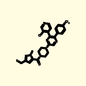 Cn1nc(CF)cc1C(=O)N1CCN(c2cnc(-c3ccc(C(F)(F)F)cc3)c(-c3ccncc3Cl)n2)CC1